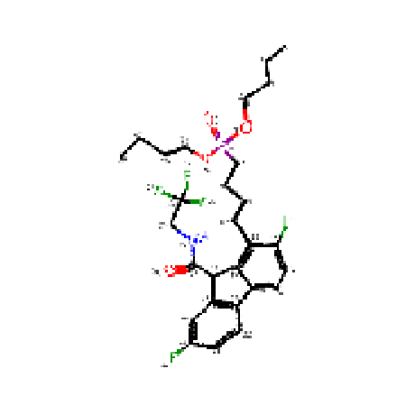 CCCCOP(=O)(CCCCc1c(F)ccc2c1C(C(=O)NCC(F)(F)F)c1cc(F)ccc1-2)OCCCC